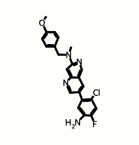 COc1ccc(CN(C)c2cc3ncc(-c4cc(N)c(F)cc4Cl)cc3cn2)cc1